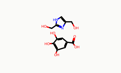 O=C(O)c1cc(O)c(O)c(O)c1.OCc1c[nH]c(CO)n1